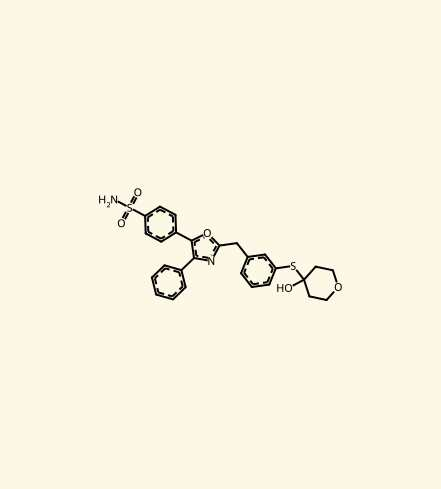 NS(=O)(=O)c1ccc(-c2oc(Cc3cccc(SC4(O)CCOCC4)c3)nc2-c2ccccc2)cc1